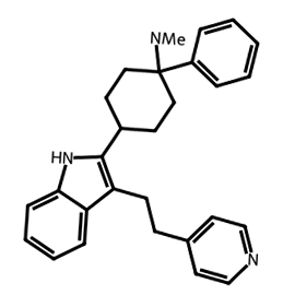 CNC1(c2ccccc2)CCC(c2[nH]c3ccccc3c2CCc2ccncc2)CC1